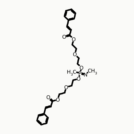 CN=P(C)(OCCOCCOC(=O)/C=C/c1ccccc1)OCCOCCOC(=O)/C=C/c1ccccc1